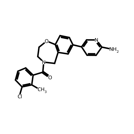 Cc1c(Cl)cccc1C(=O)N1CCOc2ccc(-c3ccc(N)nc3)cc2C1